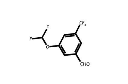 O=Cc1cc(OC(F)F)cc(C(F)(F)F)c1